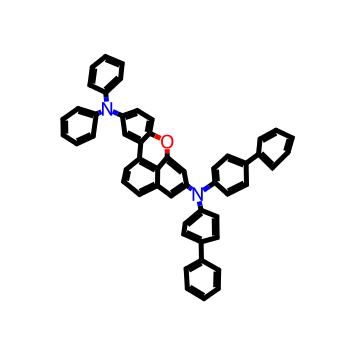 c1ccc(-c2ccc(N(c3ccc(-c4ccccc4)cc3)c3cc4c5c(cccc5c3)-c3cc(N(c5ccccc5)c5ccccc5)ccc3O4)cc2)cc1